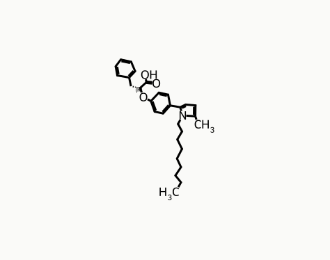 CCCCCCCCCn1c(C)ccc1-c1ccc(O[C@H](Cc2ccccc2)C(=O)O)cc1